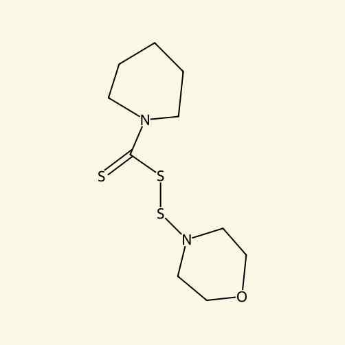 S=C(SSN1CCOCC1)N1CCCCC1